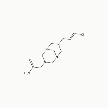 NC(=O)SN1CN2CN(CC=CCl)CN(C2)C1